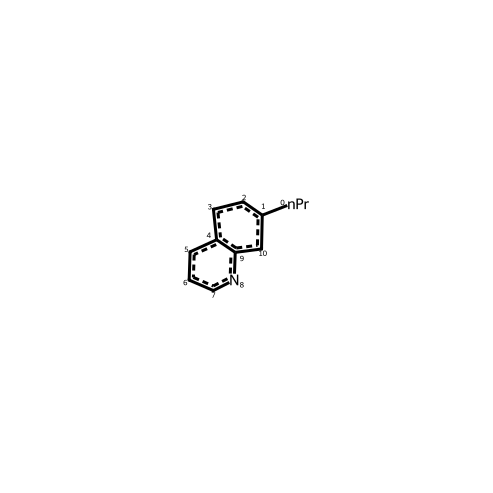 [CH2]CCc1ccc2cccnc2c1